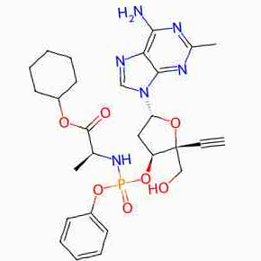 C#C[C@]1(CO)O[C@@H](n2cnc3c(N)nc(C)nc32)C[C@@H]1OP(=O)(N[C@@H](C)C(=O)OC1CCCCC1)Oc1ccccc1